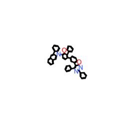 c1ccc(-c2nc(-c3ccccc3)c3c(n2)oc2ccc(-c4ccc(-n5c6ccccc6c6cc7ccccc7cc65)c5oc6ccccc6c45)cc23)cc1